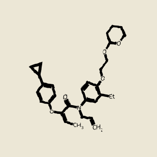 C=CCN(C(=O)C(=CC)Oc1ccc(C2CC2)cc1)c1ccc(OCCOC2CCCCO2)c(CC)c1